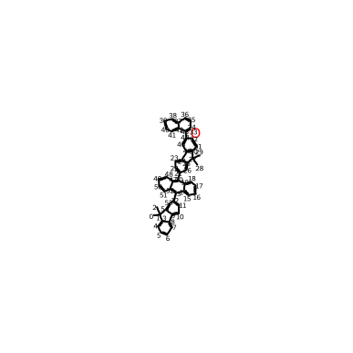 CC1(C)c2ccccc2-c2ccc(-c3c4ccccc4c(-c4ccc5c(c4)C(C)(C)c4cc6oc7ccc8ccccc8c7c6cc4-5)c4ccccc34)cc21